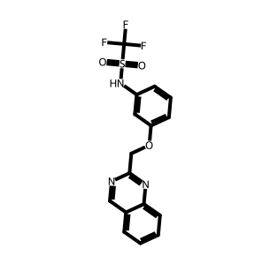 O=S(=O)(Nc1cccc(OCc2ncc3ccccc3n2)c1)C(F)(F)F